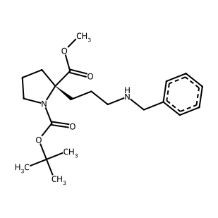 COC(=O)[C@@]1(CCCNCc2ccccc2)CCCN1C(=O)OC(C)(C)C